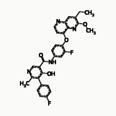 CCc1cc2nccc(Oc3ccc(NC(=O)c4cnc(C)c(-c5ccc(F)cc5)c4O)cc3F)c2nc1OC